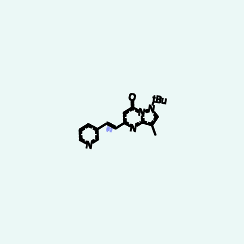 Cc1cn(C(C)(C)C)n2c(=O)cc(/C=C/c3cccnc3)nc12